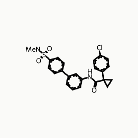 CNS(=O)(=O)c1ccc(-c2cccc(NC(=O)C3(c4ccc(Cl)cc4)CC3)c2)cc1